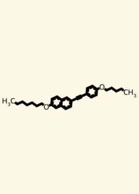 CCCCCCCOc1ccc2cc(C#Cc3ccc(OCCCCC)cc3)ccc2c1